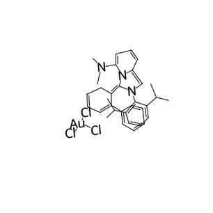 CC(C)c1cccc(C(C)C)c1N1C=C2C=CC=C(N(C)C)N2C1=C1CC=CC=C1c1ccccc1.[Cl][Au]([Cl])[Cl]